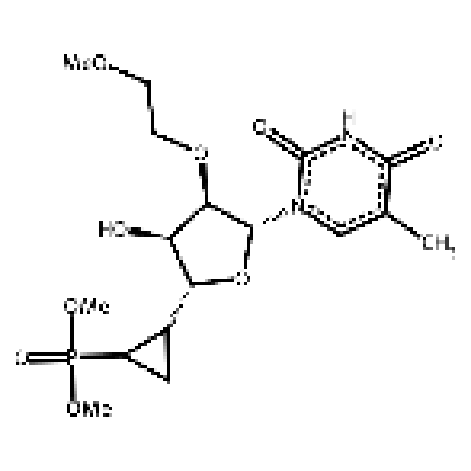 COCCO[C@@H]1[C@H](O)[C@@H](C2CC2P(=O)(OC)OC)O[C@H]1n1cc(C)c(=O)[nH]c1=O